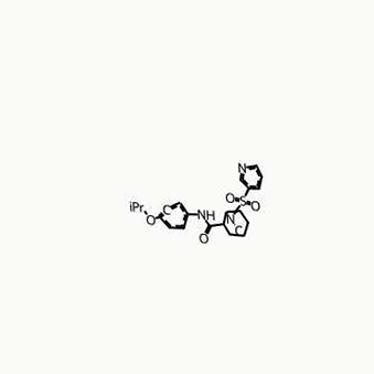 CC(C)Oc1ccc(NC(=O)C2CC3CCC2N(S(=O)(=O)c2cccnc2)C3)cc1